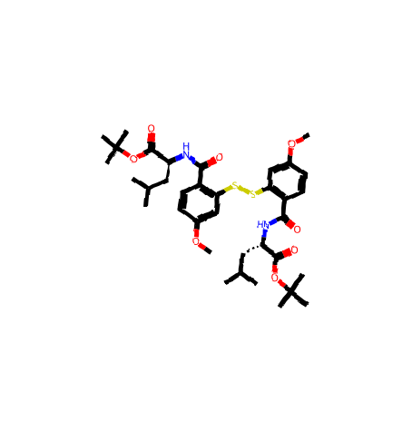 COc1ccc(C(=O)N[C@@H](CC(C)C)C(=O)OC(C)(C)C)c(SSc2cc(OC)ccc2C(=O)N[C@@H](CC(C)C)C(=O)OC(C)(C)C)c1